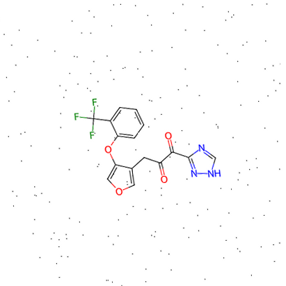 O=C(Cc1cocc1Oc1ccccc1C(F)(F)F)C(=O)c1nc[nH]n1